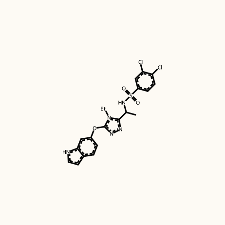 CCn1c(Oc2ccc3cc[nH]c3c2)nnc1C(C)NS(=O)(=O)c1ccc(Cl)c(Cl)c1